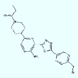 CCC(=O)N1CCC(c2cnc(N)c(-c3nnc(-c4ccc(CBr)cc4)o3)n2)CC1